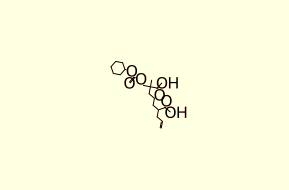 C=CCC(CCCC(C)(COC(=O)OC1CCCCC1)C(=O)O)C(=O)O